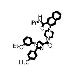 CCOc1cccc(-n2cc(C(=O)N3CCN(c4cc5ccccc5cc4C(=O)NC(C)C)CC3)nc2-c2ccc(C)cc2)c1